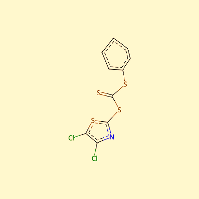 S=C(Sc1ccccc1)Sc1nc(Cl)c(Cl)s1